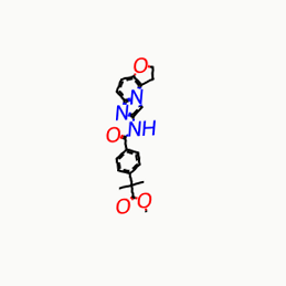 COC(=O)C(C)(C)c1ccc(C(=O)Nc2cn3c4c(ccc3n2)OCC4)cc1